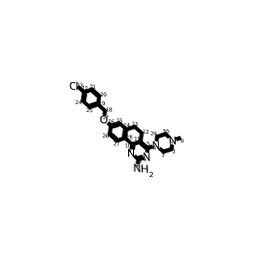 CN1CCN(c2nc(N)nc3c2CCc2cc(OCc4ccc(Cl)cc4)ccc2-3)CC1